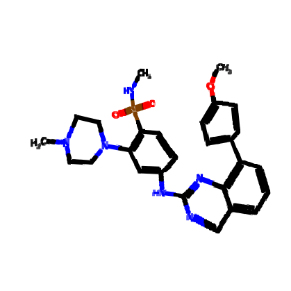 CNS(=O)(=O)c1ccc(Nc2ncc3cccc(-c4ccc(OC)cc4)c3n2)cc1N1CCN(C)CC1